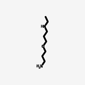 CCNCCCOCCCN